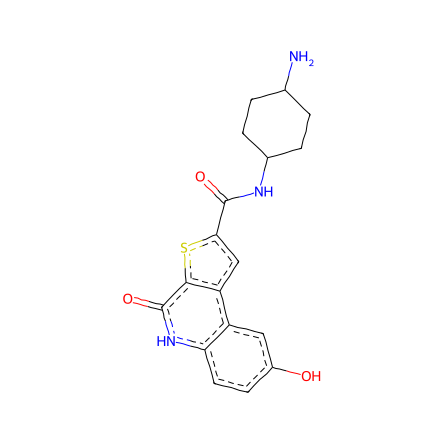 NC1CCC(NC(=O)c2cc3c(s2)c(=O)[nH]c2ccc(O)cc23)CC1